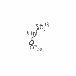 O=S(=O)(O)CCCNCCc1ccc(C(F)(F)F)cc1